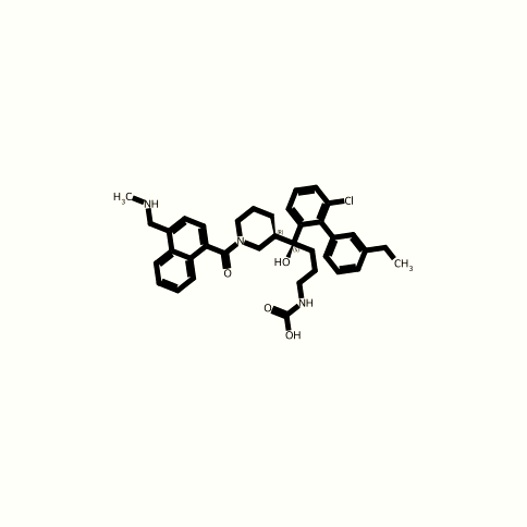 CCc1cccc(-c2c(Cl)cccc2[C@](O)(CCCNC(=O)O)[C@@H]2CCCN(C(=O)c3ccc(CNC)c4ccccc34)C2)c1